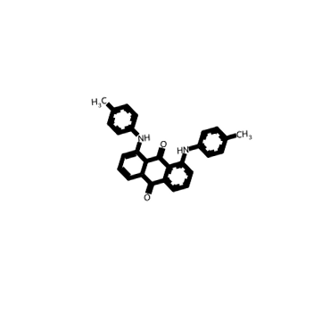 Cc1ccc(NC2=CC=CC3C(=O)c4cccc(Nc5ccc(C)cc5)c4C(=O)C23)cc1